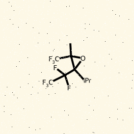 CC(C)C1(C(F)(F)C(F)(F)F)OC1(C)C(F)(F)F